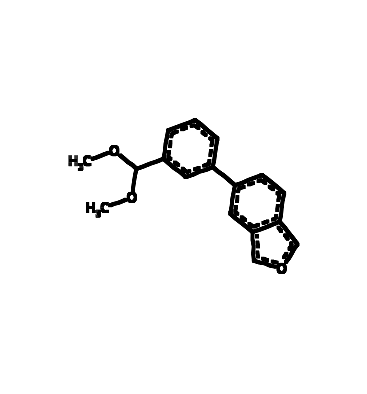 COC(OC)c1cccc(-c2ccc3cocc3c2)c1